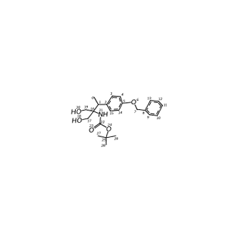 CC(c1ccc(OCc2ccccc2)cc1)C(CO)(CO)NC(=O)OC(C)(C)C